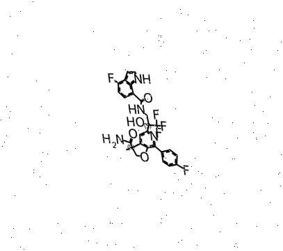 C[C@]1(C(N)=O)COc2c1cc([C@@](O)(CNC(=O)c1ccc(F)c3cc[nH]c13)C(F)(F)F)nc2-c1ccc(F)cc1